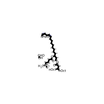 CCCCC/C=C\C/C=C\CCCCCCCCC(CCOC(=O)CC(CCCCCCCC)CCCCCCCC)OC(=O)CCCN(C)C.O=CO